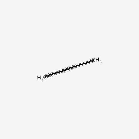 CCCCC=CCCCCCCCCCCCCCCCCCCCCCCCC